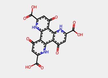 O=C(O)c1cc(=O)c2c([nH]1)c1c(=O)cc(C(=O)O)[nH]c1c1c(=O)cc(C(=O)O)[nH]c21